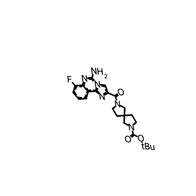 CC(C)(C)OC(=O)N1CCC2(CCN(C(=O)c3cn4c(N)nc5c(F)cccc5c4n3)C2)C1